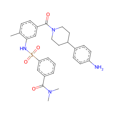 Cc1ccc(C(=O)N2CCC(c3ccc(N)cc3)CC2)cc1NS(=O)(=O)c1cccc(C(=O)N(C)C)c1